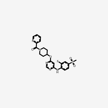 CS(=O)(=O)c1ccc(Nc2cc(OC3CCN(C(=O)c4ccccn4)CC3)ncn2)c(F)c1